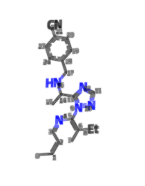 C\C=C/C=N\C(=C(/C)CC)n1ncnc1C(C)NCc1ccc(C#N)cc1